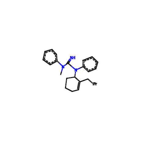 CC(C)CC1=CCCCC1N(C(=N)N(C)c1ccccc1)c1ccccc1